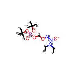 CCN(CC)/[N+]([O-])=N\OCOP(=O)(OC(C)(C)C)OC(C)(C)C